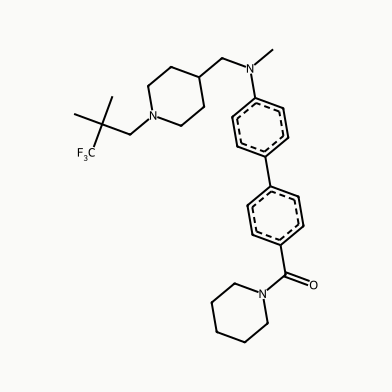 CN(CC1CCN(CC(C)(C)C(F)(F)F)CC1)c1ccc(-c2ccc(C(=O)N3CCCCC3)cc2)cc1